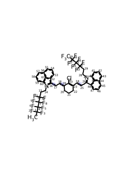 CC(F)(F)C(F)(F)C(F)(F)C(F)(F)CCn1/c(=C/C=C2\CCCC(/C=C/C3=[N+](CCC(F)(F)C(F)(F)C(F)(F)C(F)(F)F)c4cccc5cccc3c45)=C2Cl)c2cccc3cccc1c32